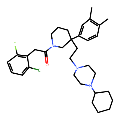 Cc1ccc(C2(CCN3CCN(C4CCCCC4)CC3)CCCN(C(=O)Cc3c(F)cccc3Cl)C2)cc1C